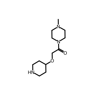 CN1CCN(C(=O)COC2CCNCC2)CC1